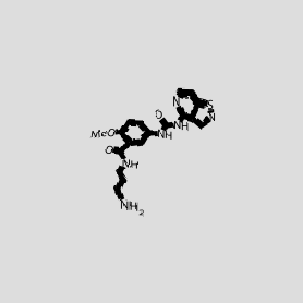 COc1ccc(NC(=O)Nc2nccc3sncc23)cc1C(=O)NCCCN